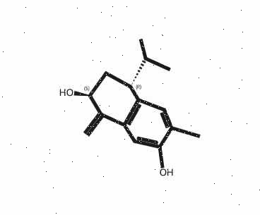 C=C1c2cc(O)c(C)cc2[C@@H](C(C)C)C[C@@H]1O